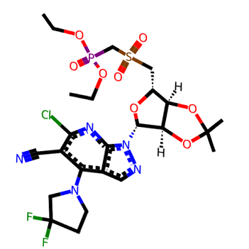 CCOP(=O)(CS(=O)(=O)C[C@H]1O[C@@H](n2ncc3c(N4CCC(F)(F)C4)c(C#N)c(Cl)nc32)[C@@H]2OC(C)(C)O[C@@H]21)OCC